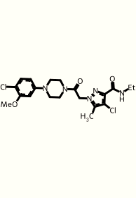 CCNC(=O)c1nn(CC(=O)N2CCN(c3ccc(Cl)c(OC)c3)CC2)c(C)c1Cl